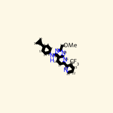 COCc1nc(Nc2ccc(C3CC3)cc2)c2ccc(-c3ncccc3C(F)(F)F)nc2n1